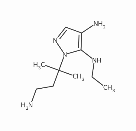 CCNc1c(N)cnn1C(C)(C)CCN